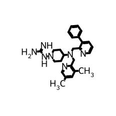 Cc1cnc(CN(Cc2ncccc2-c2ccccc2)C2CCN(NC(=N)N)CC2)c(C)c1